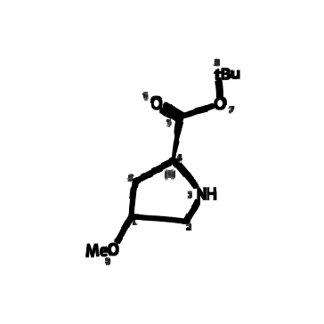 COC1CN[C@H](C(=O)OC(C)(C)C)C1